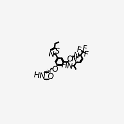 CCc1cnc(-c2cc(OC[C@@H]3CNCCO3)cc(C(=O)NC(C)c3ccc(C(F)(F)F)nn3)c2)s1